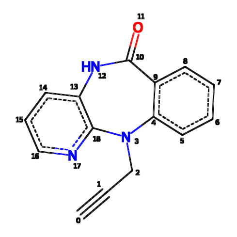 C#CCN1c2ccccc2C(=O)Nc2cccnc21